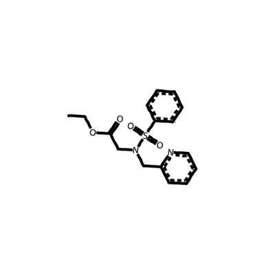 CCOC(=O)CN(Cc1ccccn1)S(=O)(=O)c1[c]cccc1